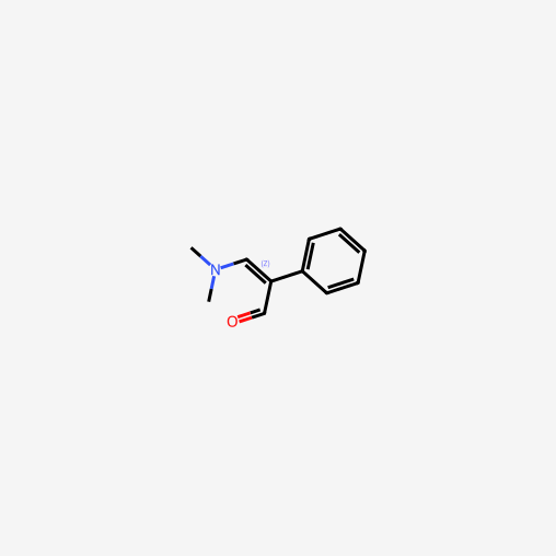 CN(C)/C=C(\C=O)c1ccccc1